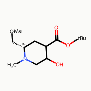 COC[C@@H]1CC(C(=O)OC(C)(C)C)C(O)CN1C